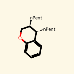 CCCCC[C@@H]1COc2ccccc2[C@H]1CCCCC